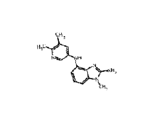 Cc1cc(Nc2cccc3c2nc(N)n3C)cnc1C